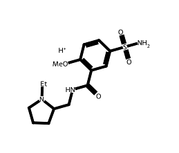 CCN1CCCC1CNC(=O)c1cc(S(N)(=O)=O)ccc1OC.[H+]